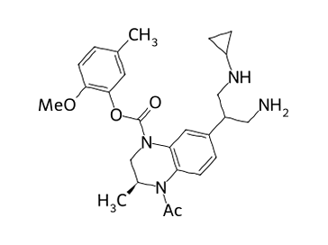 COc1ccc(C)cc1OC(=O)N1C[C@H](C)N(C(C)=O)c2ccc(C(CN)CNC3CC3)cc21